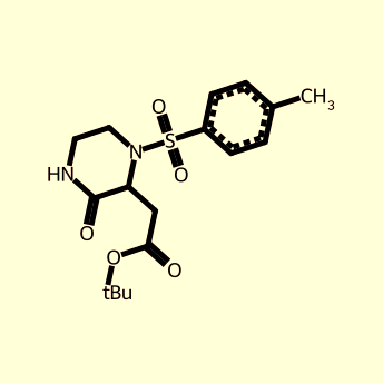 Cc1ccc(S(=O)(=O)N2CCNC(=O)C2CC(=O)OC(C)(C)C)cc1